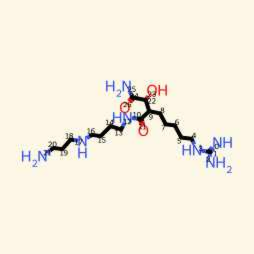 N=C(N)NCCCCCC(C(=O)NCCCCNCCCN)C(O)C(N)=O